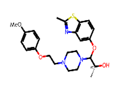 COc1ccc(OCCN2CCN(C(Oc3ccc4sc(C)nc4c3)[C@@H](C)O)CC2)cc1